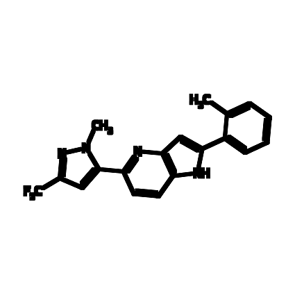 Cc1ccccc1-c1cc2nc(-c3cc(C(F)(F)F)nn3C)ccc2[nH]1